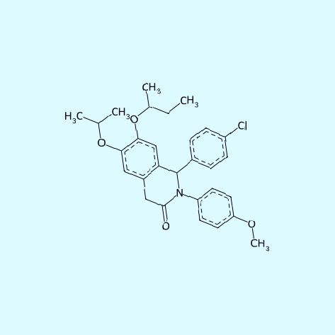 CCC(C)Oc1cc2c(cc1OC(C)C)CC(=O)N(c1ccc(OC)cc1)C2c1ccc(Cl)cc1